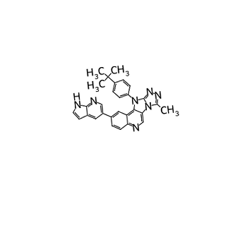 Cc1nnc2n(-c3ccc(C(C)(C)C)cc3)c3c4cc(-c5cnc6[nH]ccc6c5)ccc4ncc3n12